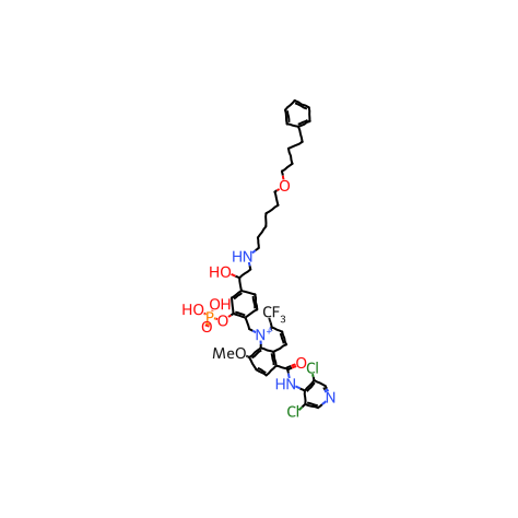 COc1ccc(C(=O)Nc2c(Cl)cncc2Cl)c2ccc(C(F)(F)F)[n+](Cc3ccc(C(O)CNCCCCCCOCCCCc4ccccc4)cc3OP(=O)(O)O)c12